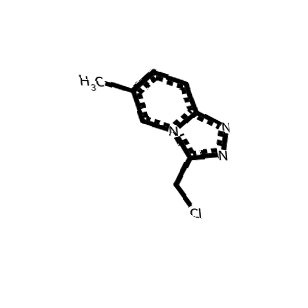 Cc1ccc2nnc(CCl)n2c1